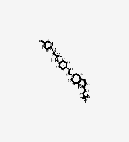 Cc1cnc(OCC(=O)N[C@H]2CC[C@H](CCN3CCc4ccc(CCC(F)(F)F)nc4CC3)CC2)cn1